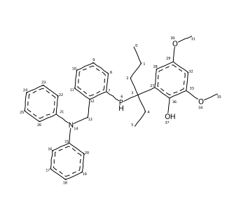 CCCC(CC)(Pc1ccccc1CN(c1ccccc1)c1ccccc1)c1cc(OC)cc(OC)c1O